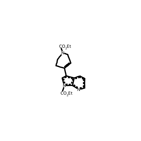 CCOC(=O)N1CC=C(c2cn(C(=O)OCC)c3ncccc23)CC1